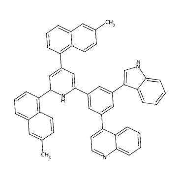 Cc1ccc2c(C3=CC(c4cccc5cc(C)ccc45)NC(c4cc(-c5ccnc6ccccc56)cc(-c5c[nH]c6ccccc56)c4)=C3)cccc2c1